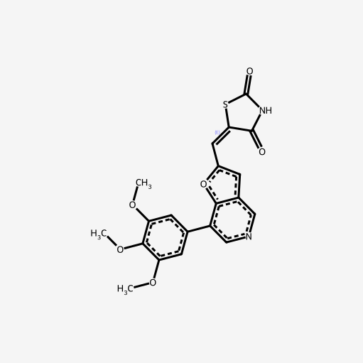 COc1cc(-c2cncc3cc(/C=C4/SC(=O)NC4=O)oc23)cc(OC)c1OC